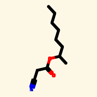 CCCCCCC(C)OC(=O)CC#N